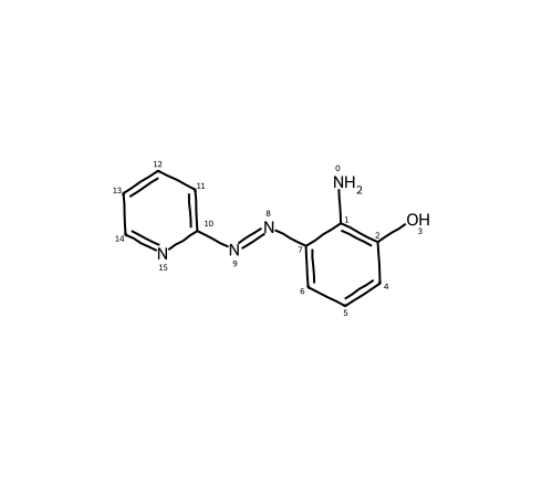 Nc1c(O)cccc1N=Nc1ccccn1